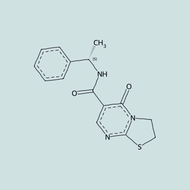 C[C@H](NC(=O)c1cnc2n(c1=O)CCS2)c1ccccc1